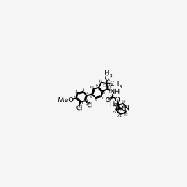 COc1ccc(-c2ccc3c(c2)CC(C)(C)C3NC(=O)O[C@H]2CN3CCC2CC3)c(Cl)c1Cl